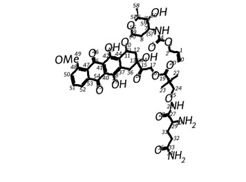 C=CCOC(=O)N[C@H]1C[C@H](O[C@H]2C[C@](O)(C(=O)COC(=O)C(C)(C)CONC(=O)C(N)CCC(N)=O)Cc3c(O)c4c(c(O)c32)C(=O)c2c(OC)cccc2C4=O)O[C@@H](C)[C@H]1O